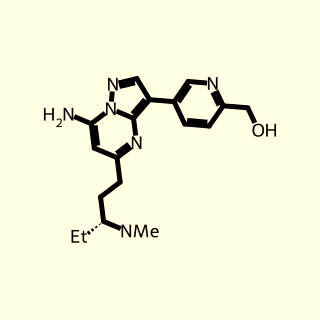 CC[C@H](CCc1cc(N)n2ncc(-c3ccc(CO)nc3)c2n1)NC